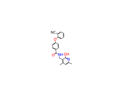 Cc1cc(C)c(CNC(=O)c2ccc(Oc3ccccc3C#N)cc2)c(O)n1